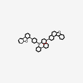 C1=CCC2Oc3c(cccc3-c3ccc(N(c4ccc(-c5ccc6c(ccc7oc8ccccc8c76)c5)cc4)c4ccccc4-c4ccccc4)cc3)C2=C1